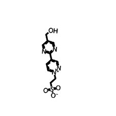 O=S(=O)([O-])CC[n+]1ccc(-c2ncc(CO)cn2)cn1